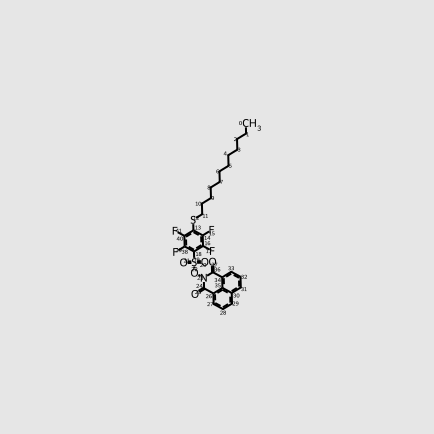 CCCCCCCCCCCCSc1c(F)c(F)c(S(=O)(=O)ON2C(=O)c3cccc4cccc(c34)C2=O)c(F)c1F